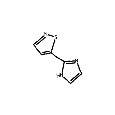 c1cc(-c2ncc[nH]2)sn1